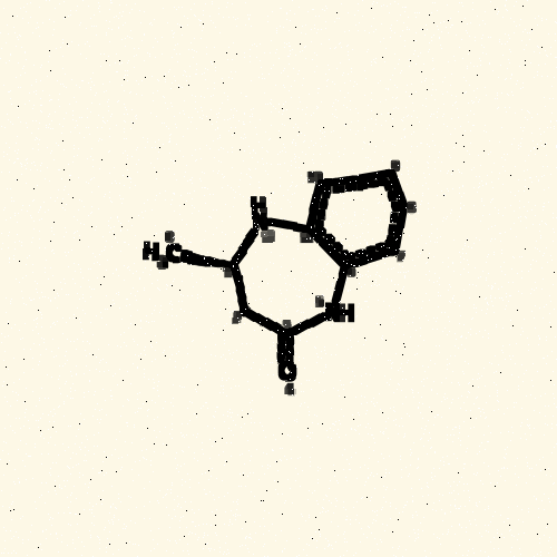 C[C@@H]1CC(=O)Nc2ccccc2N1